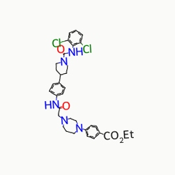 CCOC(=O)c1ccc(N2CCCN(CC(=O)Nc3ccc(C4CCN(C(=O)Nc5c(Cl)cccc5Cl)CC4)cc3)CC2)cc1